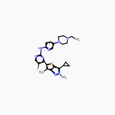 CCN1CCN(c2ccc(Nc3ncc(F)c(-c4sc5c(C6CC6)n(C)nc5c4C)n3)nc2)CC1